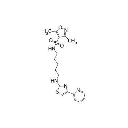 Cc1noc(C)c1S(=O)(=O)NCCCCCNc1nc(-c2ccccn2)cs1